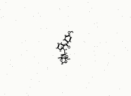 COc1ccc(C(=O)c2ccccc2CC2=NC3(C)OCOC3(C)O2)cc1